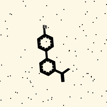 C=C(C)c1cccc(-c2ccc(CC)cc2)c1